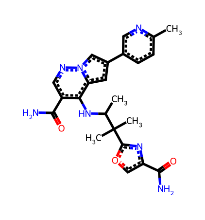 Cc1ccc(-c2cc3c(NC(C)C(C)(C)c4nc(C(N)=O)co4)c(C(N)=O)cnn3c2)cn1